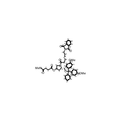 CNC(=O)CCC(=O)OC1C[C@@H](COC(c2ccccc2)(c2ccc(OC)cc2)c2ccc(OC)cc2)N(C(=O)CCCCCN2C(=O)c3ccccc3C2=O)C1